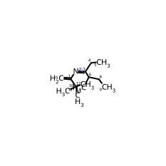 C=C(/N=C(/CC)C(C)CC)C(C)(C)C